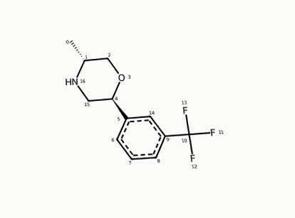 C[C@@H]1CO[C@@H](c2cccc(C(F)(F)F)c2)CN1